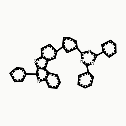 c1ccc(-c2nc(-c3ccccc3)nc(-c3cccc(-c4ccc5sc6c(-c7ccccc7)nc7ccccc7c6c5c4)c3)n2)cc1